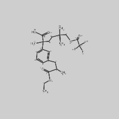 CCOC(=O)C(C)Cc1cccc(C(C)(CCC(C)(C)COC(=O)C(F)(F)F)C(=O)O)c1